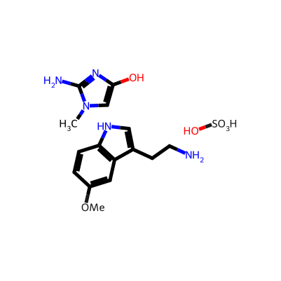 COc1ccc2[nH]cc(CCN)c2c1.Cn1cc(O)nc1N.O=S(=O)(O)O